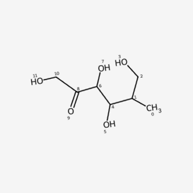 CC(CO)C(O)C(O)C(=O)CO